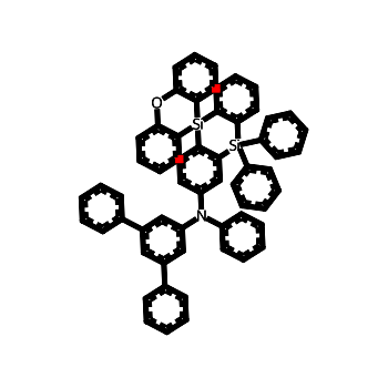 c1ccc(-c2cc(-c3ccccc3)cc(N(c3ccccc3)c3ccc4c(c3)[Si](c3ccccc3)(c3ccccc3)c3ccccc3[Si]43c4ccccc4Oc4ccccc43)c2)cc1